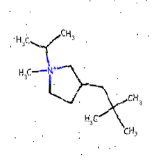 CC(C)[N+]1(C)CCC(CC(C)(C)C)C1